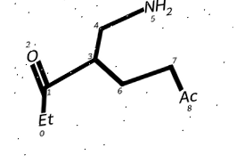 CCC(=O)C(CN)CCC(C)=O